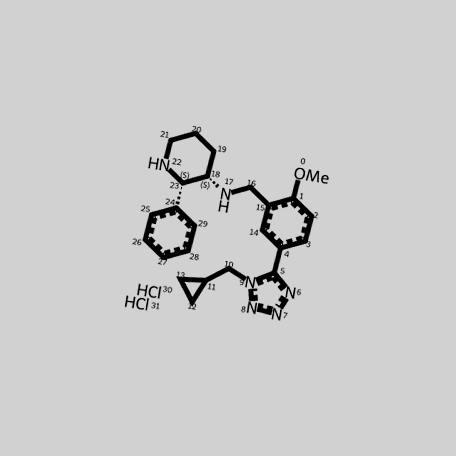 COc1ccc(-c2nnnn2CC2CC2)cc1CN[C@H]1CCCN[C@H]1c1ccccc1.Cl.Cl